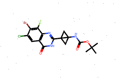 CC(C)(C)OC(=O)NC12CC1(c1nc3c(F)c(Br)c(Cl)cc3c(=O)[nH]1)C2